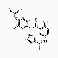 C=C(Nc1ccc(O)c(C(=O)Nc2ccc(NC(=O)CC)c(C)c2)c1)c1cn[nH]c1